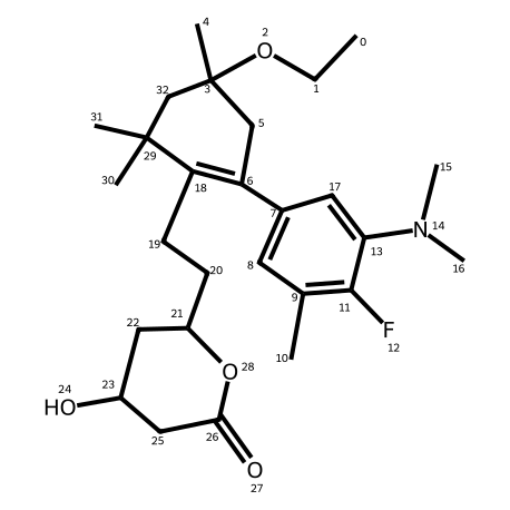 CCOC1(C)CC(c2cc(C)c(F)c(N(C)C)c2)=C(CCC2CC(O)CC(=O)O2)C(C)(C)C1